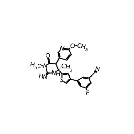 COc1ccc(C2C(=O)N(C)C(=N)N[C@]2(C)c2cc(-c3cc(F)cc(C#N)c3)cs2)cn1